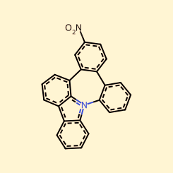 O=[N+]([O-])c1ccc2c(c1)-c1cccc3c4ccccc4n(c13)-c1ccccc1-2